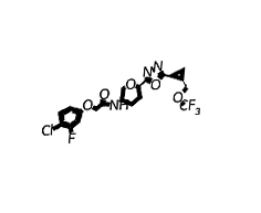 O=C(COc1ccc(Cl)c(F)c1)N[C@H]1CC[C@H](c2nnc([C@H]3C[C@@H]3COC(F)(F)F)o2)OC1